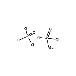 CCCCP(=O)(Cl)Cl.O=P(Cl)(Cl)Cl